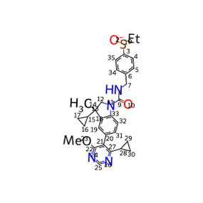 CC[S+]([O-])c1ccc(CNC(=O)N2C[C@@](C)(C3CC3)c3cc(-c4c(OC)ncnc4C4CC4)ccc32)cc1